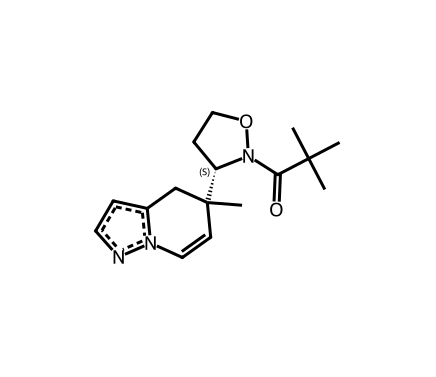 CC(C)(C)C(=O)N1OCC[C@H]1C1(C)C=Cn2nccc2C1